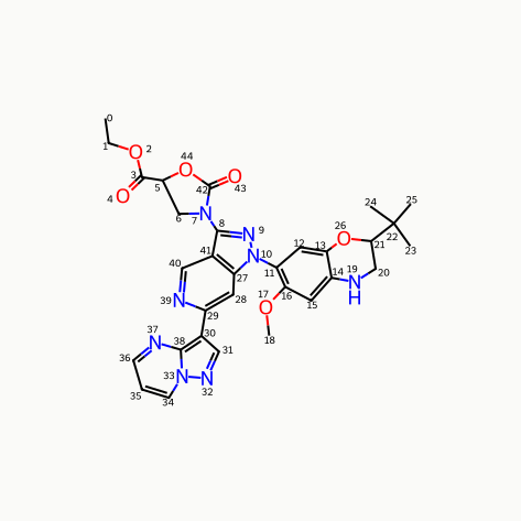 CCOC(=O)C1CN(c2nn(-c3cc4c(cc3OC)NCC(C(C)(C)C)O4)c3cc(-c4cnn5cccnc45)ncc23)C(=O)O1